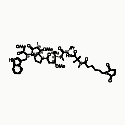 CC[C@H](C)[C@@H]([C@@H](CC(=O)N1CCC[C@H]1[C@H](OC)[C@@H](C)C(=O)N[C@@H](Cc1c[nH]c2ccccc12)C(=O)OC)OC)N(C)C(=O)[C@@H](NC(=O)C(C)(C)N(C)C(=O)CCCCCN1C(=O)C=CC1=O)C(C)C